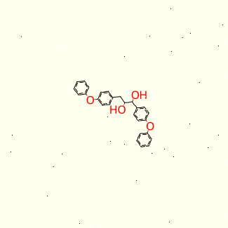 OC(Cc1ccc(Oc2ccccc2)cc1)C(O)c1ccc(Oc2ccccc2)cc1